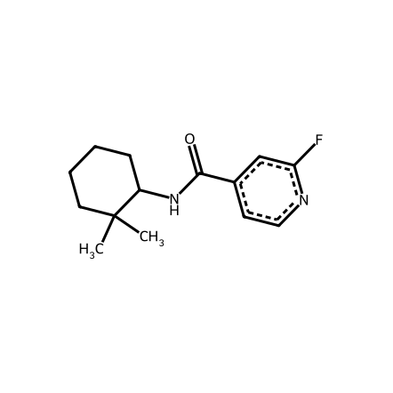 CC1(C)CCCCC1NC(=O)c1ccnc(F)c1